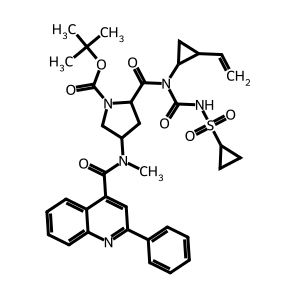 C=CC1CC1N(C(=O)NS(=O)(=O)C1CC1)C(=O)C1CC(N(C)C(=O)c2cc(-c3ccccc3)nc3ccccc23)CN1C(=O)OC(C)(C)C